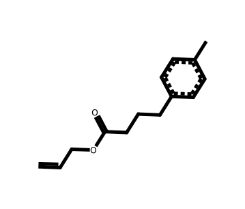 C=CCOC(=O)CCCc1ccc(C)cc1